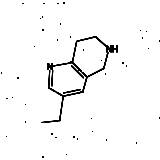 CCc1cnc2c(c1)CNCC2